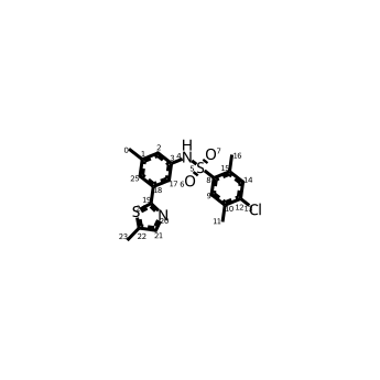 Cc1cc(NS(=O)(=O)c2cc(C)c(Cl)cc2C)cc(-c2ncc(C)s2)c1